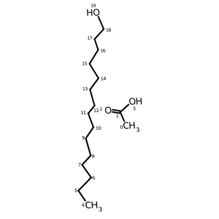 CC(=O)O.CCCCCCCCCCCCCCCO